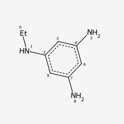 CCNc1cc(N)cc(N)c1